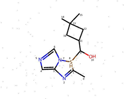 CC1=Nc2cncn2[SH]1C(O)C1CC(C)(C)C1